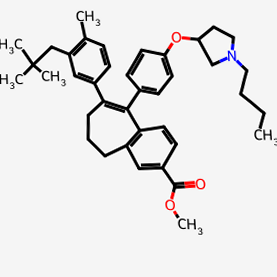 CCCCN1CCC(Oc2ccc(C3=C(c4ccc(C)c(CC(C)(C)C)c4)CCCc4cc(C(=O)OC)ccc43)cc2)C1